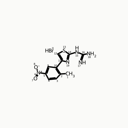 Br.Cc1ccc([N+](=O)[O-])cc1-c1csc(NC(=N)N)n1